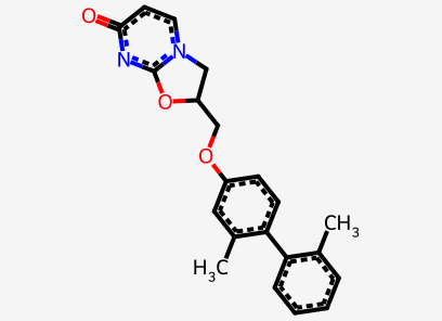 Cc1ccccc1-c1ccc(OCC2Cn3ccc(=O)nc3O2)cc1C